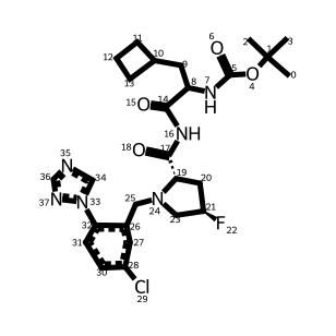 CC(C)(C)OC(=O)NC(CC1CCC1)C(=O)NC(=O)[C@@H]1C[C@@H](F)CN1Cc1cc(Cl)ccc1-n1cncn1